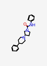 O=C(Nc1ccccc1)N1CCC(N2CCC(c3ccccc3)CC2)C1